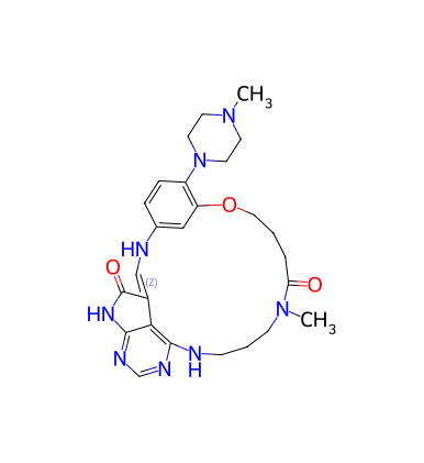 CN1CCN(c2ccc3cc2OCCCC(=O)N(C)CCCNc2ncnc4c2/C(=C/N3)C(=O)N4)CC1